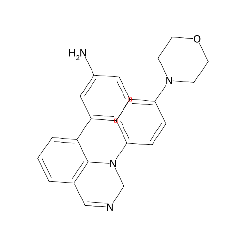 Nc1cccc(-c2cccc3c2N(c2ccc(N4CCOCC4)cc2)CN=C3)c1